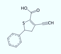 C#CC1=C(C(=O)O)SC(c2ccccc2)C1